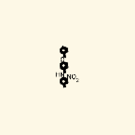 Cc1ccc(NCc2ccc(OCc3ccccc3)cc2)c([N+](=O)[O-])c1